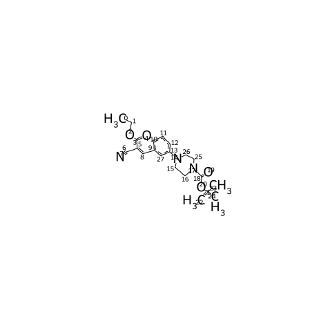 CCOC(=O)C(C#N)=Cc1cccc(N2CCN(C(=O)OC(C)(C)C)CC2)c1